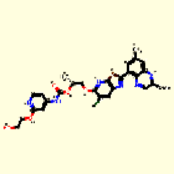 COc1cnc2c(-c3nc4cc(F)c(OC[C@@H](C)OC(=O)Nc5ccnc(OCCO)c5)nc4s3)cc(C)cc2n1